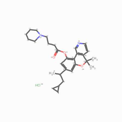 CC(CC1CC1)c1cc(OC(=O)CCCN2CCCCC2)c2c(c1)OC(C)(C)c1ccncc1-2.Cl